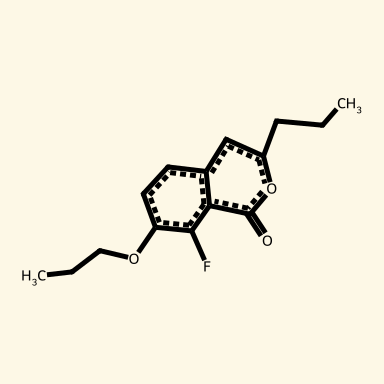 CCCOc1ccc2cc(CCC)oc(=O)c2c1F